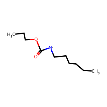 CCCCCC[N]C(=O)OCCC